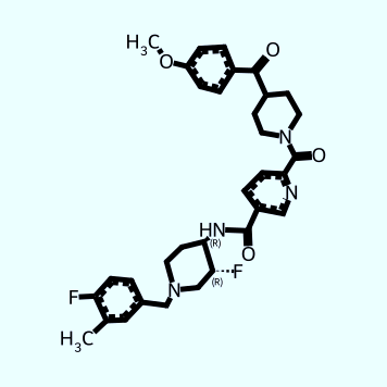 COc1ccc(C(=O)C2CCN(C(=O)c3ccc(C(=O)N[C@@H]4CCN(Cc5ccc(F)c(C)c5)C[C@H]4F)cn3)CC2)cc1